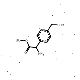 CC(C)(C)OC(=O)C(N)c1ccc(CC=O)cc1